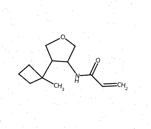 C=CC(=O)NC1COCC1C1(C)CCC1